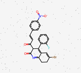 O=C(/C=C/c1ccc([N+](=O)[O-])cc1)C1C(=O)N=C2CCC(Br)=CC2=C1c1ccccc1F